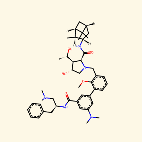 COc1c(CN2C[C@H](O)[C@@H]([C@H](C)O)[C@H]2C(=O)N[C@H]2C[C@H]3C[C@@H]([C@@H]2C)C3(C)C)cccc1-c1cc(C(=O)N[C@@H](Cc2ccccc2)CN(C)C)cc(N(C)C)c1